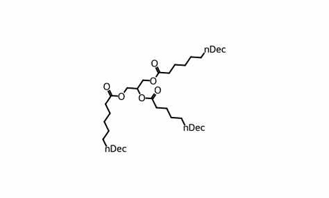 CCCCCCCCCCCCCCCC(=O)OCC(COC(=O)CCCCCCCCCCCCCCC)OC(=O)CCCCCCCCCCCCCC